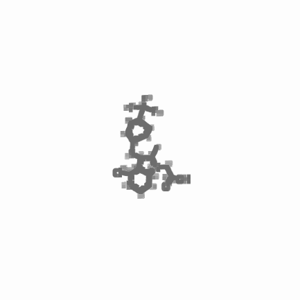 Cc1c(Sc2ccc(C(F)(F)F)cc2)c2c(Cl)nccc2n1CC(=O)O